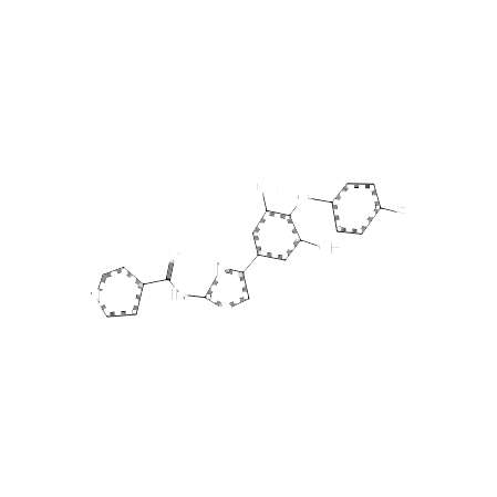 Cc1cc(-c2csc(NC(=O)c3ccncc3)n2)cc(C)c1Oc1ccc(F)cc1